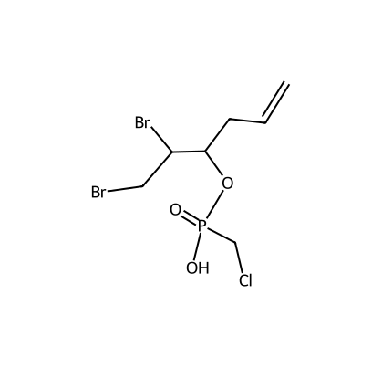 C=CCC(OP(=O)(O)CCl)C(Br)CBr